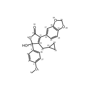 COc1ccc(C2(O)OC(=O)C(c3ccc4c(c3)OCO4)=C2CC2CC2)cc1